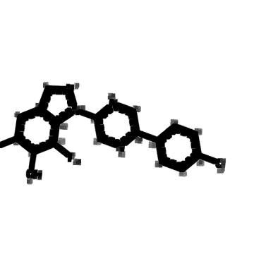 Oc1c(F)cc2cnn(-c3cnc(-c4ccc(Cl)cc4)cn3)c2c1F